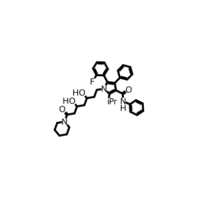 CC(C)c1c(C(=O)Nc2ccccc2)c(-c2ccccc2)c(-c2ccccc2F)n1CCC(O)CC(O)CC(=O)N1CCCCC1